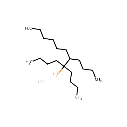 CCCCCCC(CCCC)C(P)(CCCC)CCCC.Cl